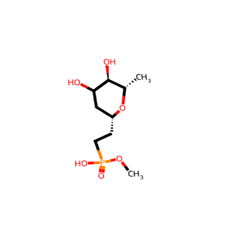 COP(=O)(O)CC[C@@H]1CC(O)[C@@H](O)[C@H](C)O1